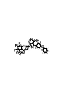 CS(=O)(=O)c1c(F)c(F)c(F)c(F)c1C(=O)N1CC(n2nc(-c3ccc(Oc4ccccc4)cc3)c3c(N)ncnc32)C1